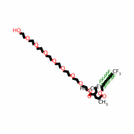 CCC(CC(CC(C)C(=O)OCCC(F)(F)C(F)(F)C(F)(F)C(F)(F)C(F)(F)C(F)(F)F)C(=O)OCCCOCCCOCCCOCCCOCCCOCCCOCCCOCCCO)C(=O)O